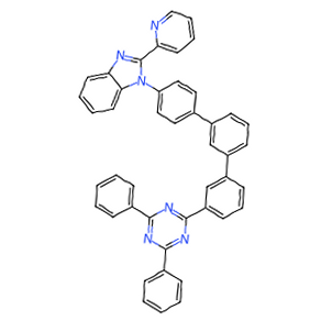 c1ccc(-c2nc(-c3ccccc3)nc(-c3cccc(-c4cccc(-c5ccc(-n6c(-c7ccccn7)nc7ccccc76)cc5)c4)c3)n2)cc1